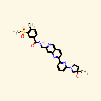 Cc1ccc(C(=O)NCc2cc3nc(-c4cccc(N5CC[C@](C)(O)C5)n4)ccc3cn2)cc1S(C)(=O)=O